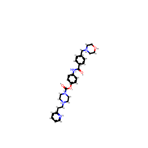 O=C(Nc1ccc(OC(=O)N2CCN(CCc3ccccn3)CC2)cc1)c1ccc(CN2CCOCC2)cc1